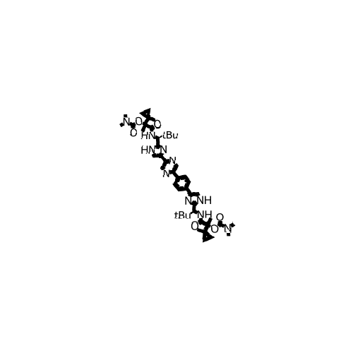 CN(C)C(=O)OC(C)(C(=O)N[C@H](c1nc(-c2ccc(-c3cnc(-c4c[nH]c([C@@H](NC(=O)C(C)(OC(=O)N(C)C)C5(C)CC5)C(C)(C)C)n4)cn3)cc2)c[nH]1)C(C)(C)C)C1(C)CC1